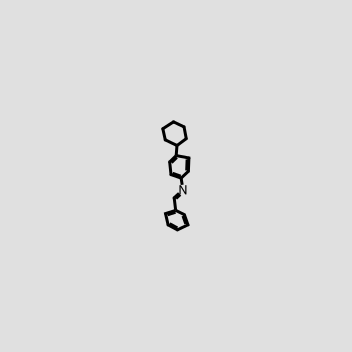 C(=Nc1ccc(C2CCCCC2)cc1)c1ccccc1